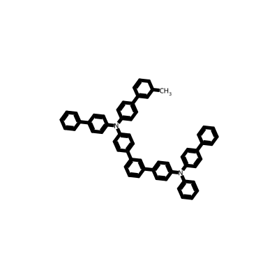 CC1C=C(c2ccc(N(c3ccc(-c4ccccc4)cc3)c3ccc(-c4cccc(-c5ccc(N(c6ccccc6)c6ccc(-c7ccccc7)cc6)cc5)c4)cc3)cc2)C=CC1